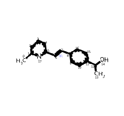 Cc1cccc(/C=C/c2ccc(C(C)O)cc2)n1